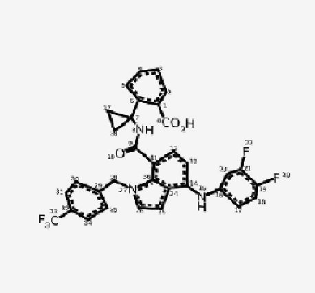 O=C(O)c1ccccc1C1(NC(=O)c2ccc(Nc3ccc(F)c(F)c3)c3ccn(Cc4ccc(C(F)(F)F)cc4)c23)CC1